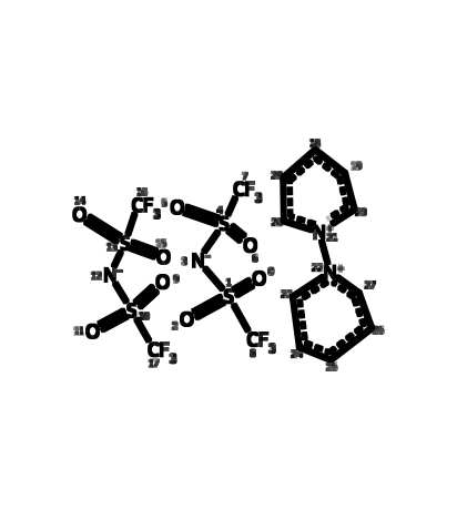 O=S(=O)([N-]S(=O)(=O)C(F)(F)F)C(F)(F)F.O=S(=O)([N-]S(=O)(=O)C(F)(F)F)C(F)(F)F.c1cc[n+](-[n+]2ccccc2)cc1